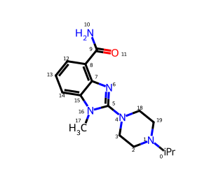 CC(C)N1CCN(c2nc3c(C(N)=O)cccc3n2C)CC1